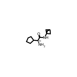 N[C@H](C(=O)NC12CC(C1)C2)C1CCCC1